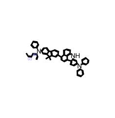 C=C/C(=C\C=C/C)N(c1ccccc1)c1ccc2c(c1)C(C)(C)c1cc(-c3ccc4c5c(cccc35)Nc3cc(N(c5ccccc5)c5ccccc5)ccc3-4)ccc1-2